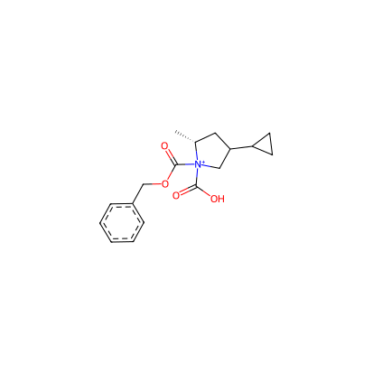 C[C@@H]1CC(C2CC2)C[N+]1(C(=O)O)C(=O)OCc1ccccc1